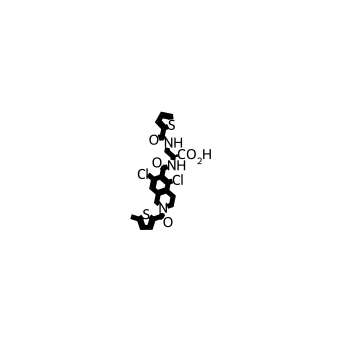 Cc1ccc(C(=O)N2CCc3c(cc(Cl)c(C(=O)N[C@@H](CNC(=O)c4cccs4)C(=O)O)c3Cl)C2)s1